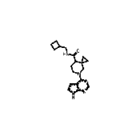 O=C(NCC1CCC1)C1CCN(c2ncnc3[nH]ccc23)CC12CC2